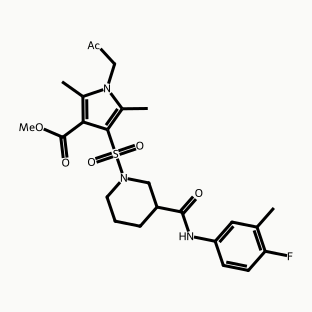 COC(=O)c1c(S(=O)(=O)N2CCCC(C(=O)Nc3ccc(F)c(C)c3)C2)c(C)n(CC(C)=O)c1C